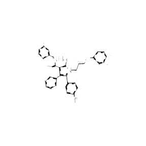 CC(C)c1c(C(=O)Nc2ccccc2)c(-c2ccccc2)c(-c2ccc(F)cc2)n1CCCOc1[c]cccc1